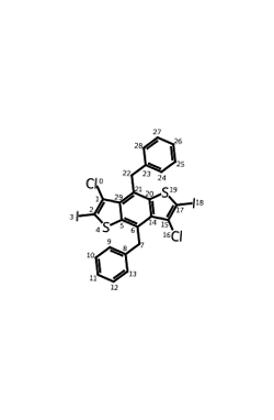 Clc1c(I)sc2c(Cc3ccccc3)c3c(Cl)c(I)sc3c(Cc3ccccc3)c12